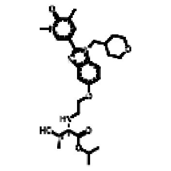 Cc1cc(-c2nc3cc(OCCN[C@H](C(=O)OC(C)C)[C@@H](C)O)ccc3n2CC2CCOCC2)cn(C)c1=O